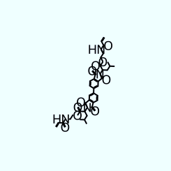 C=CC(=O)NCCOC(=O)C(CC(C)C)N1C(=O)c2ccc(-c3ccc4c(c3)C(=O)N(C(CC(C)C)C(=O)OCCNC(=O)C=C)C4=O)cc2C1=O